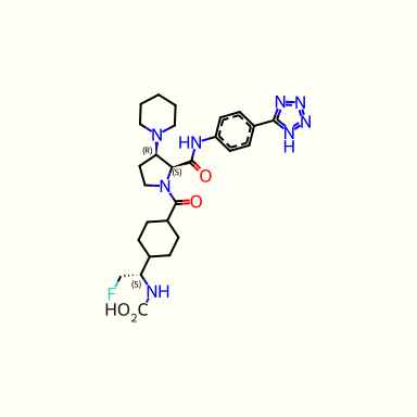 O=C(O)N[C@H](CF)C1CCC(C(=O)N2CC[C@@H](N3CCCCC3)[C@H]2C(=O)Nc2ccc(-c3nnn[nH]3)cc2)CC1